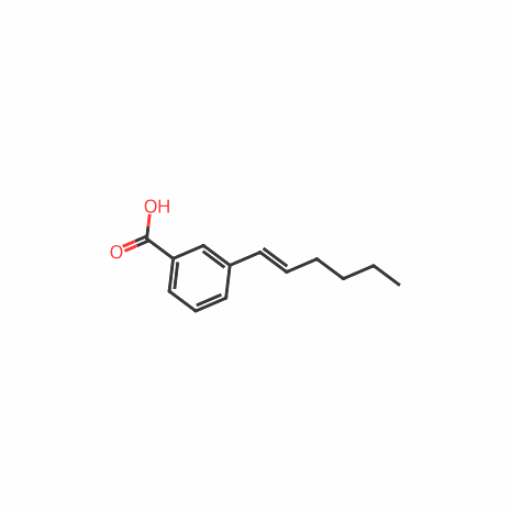 CCCCC=Cc1cccc(C(=O)O)c1